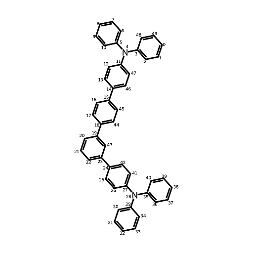 c1ccc(N(c2ccccc2)c2ccc(-c3ccc(-c4cccc(-c5ccc(N(c6ccccc6)c6ccccc6)cc5)c4)cc3)cc2)cc1